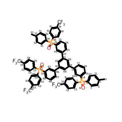 Cc1ccc(P(=O)(c2ccc(C(F)(F)F)cc2)c2cccc(-c3cc(-c4cccc(P(=O)(c5ccc(C)cc5)c5ccc(C(F)(F)F)cc5)c4)cc(-c4cccc(P(=O)(c5ccc(C(F)(F)F)cc5)c5ccc(C(F)(F)F)cc5)c4)c3)c2)cc1